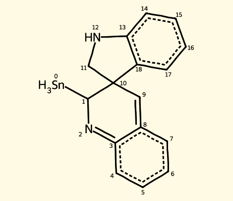 [SnH3][CH]1N=c2ccccc2=CC12CNc1ccccc12